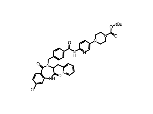 CC(C)(C)OC(=O)N1CCN(c2ccc(NC(=O)c3ccc(CN4C(=O)c5ccc(Cl)cc5NC(=O)C4Cc4ccccn4)cc3)nc2)CC1